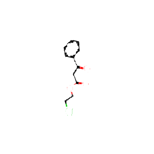 O=C(CC(=O)c1ccccc1)OCCCl